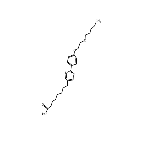 CCCCCOCCOc1ccc(-c2ncc(CCCCCCCC(=O)O)cn2)cc1